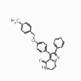 Cc1ccc(COc2ccc(-c3c(-c4ccncc4)nn4c3C(=O)NCC4)cc2)cc1